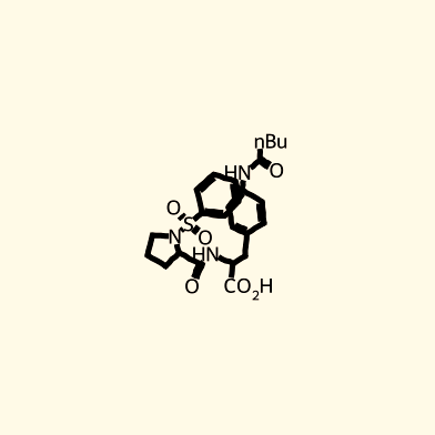 CCCCC(=O)Nc1ccc(CC(NC(=O)C2CCCN2S(=O)(=O)c2ccccc2)C(=O)O)cc1